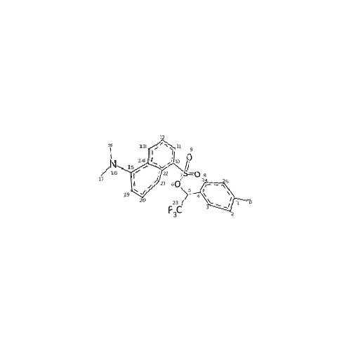 Cc1ccc(C(OS(=O)(=O)c2cccc3c(N(C)C)cccc23)C(F)(F)F)cc1